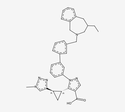 CCC1Cc2ccccc2CN(Cc2cccc(-c3cccc(-n4ncc(C(=O)O)c4[C@@H]4C[C@H]4c4cn(C)nn4)c3)c2)C1